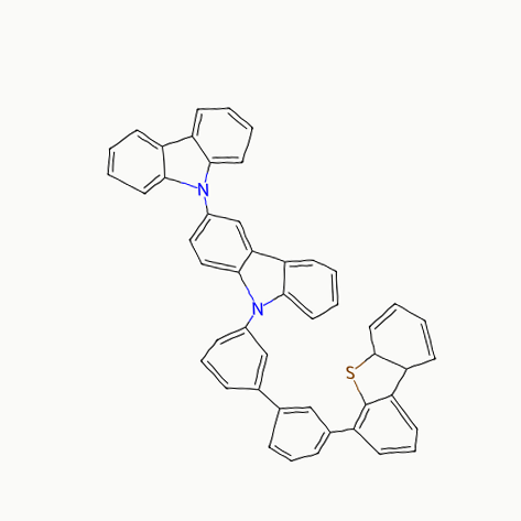 C1=CC2Sc3c(-c4cccc(-c5cccc(-n6c7ccccc7c7cc(-n8c9ccccc9c9ccccc98)ccc76)c5)c4)cccc3C2C=C1